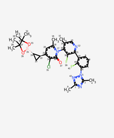 Cc1nc(C)n(-c2cccc(-c3ncc(C)c(-n4c(C)cc([C@H]5C[C@@H]5B5OC(C)(C)C(C)(C)O5)c(Cl)c4=O)c3F)c2F)n1